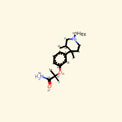 CCCCCCN1CCC(C)(c2cccc(OC(C)(C)C(N)=O)c2)C(C)C1